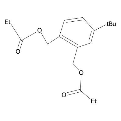 CCC(=O)OCc1ccc(C(C)(C)C)cc1COC(=O)CC